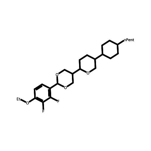 CCCCCC1CCC(C2CCC(C3COC(c4ccc(OCC)c(F)c4F)OC3)OC2)CC1